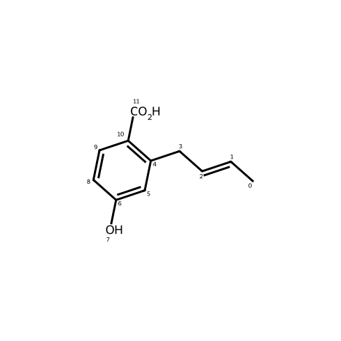 CC=CCc1cc(O)ccc1C(=O)O